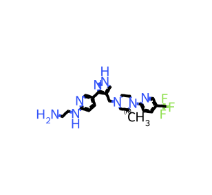 C[C@@H]1CN(Cc2c[nH]nc2-c2ccc(NCCN)nc2)CCN1c1ccc(C(F)(F)F)cn1